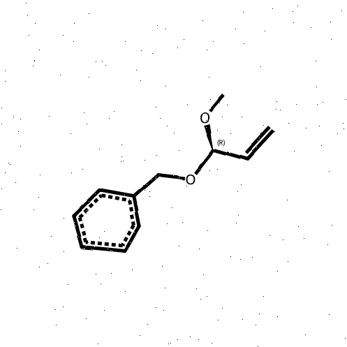 C=C[C@H](OC)OCc1ccccc1